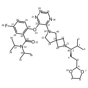 CC(C)[C@@H](CCC1OCCO1)N1CC2(CCN(c3ncnnc3Oc3ccc(F)cc3C(=O)N(C(C)C)C(C)C)C2)C1